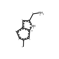 Cc1ccc2cc(CN)[nH]c2c1